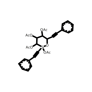 CC(=O)OC1C(C#Cc2ccccc2)O[Si](C#Cc2ccccc2)(OC(C)=O)C(OC(C)=O)C1OC(C)=O